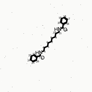 O=C(NCCCCCCCCCNC(=O)c1ccccc1)c1ccccc1